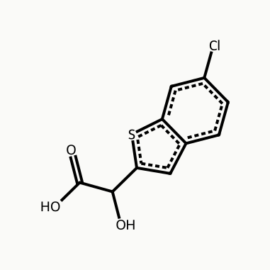 O=C(O)C(O)c1cc2ccc(Cl)cc2s1